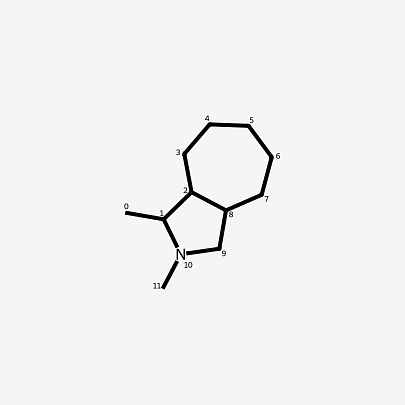 CC1C2CCCCCC2CN1C